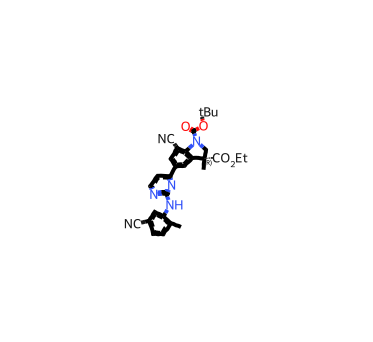 CCOC(=O)[C@@]1(C)CN(C(=O)OC(C)(C)C)c2c(C#N)cc(-c3ccnc(Nc4cc(C#N)ccc4C)n3)cc21